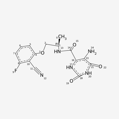 C[C@H](COc1cccc(F)c1C#N)NC(=O)c1[nH]c(=O)[nH]c(=O)c1N